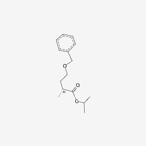 CC(C)OC(=O)[C@H](C)CCOCc1ccccc1